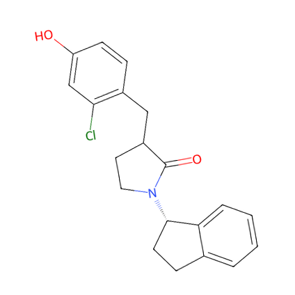 O=C1C(Cc2ccc(O)cc2Cl)CCN1[C@H]1CCc2ccccc21